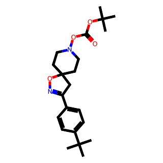 CC(C)(C)OC(=O)ON1CCC2(CC1)CC(c1ccc(C(C)(C)C)cc1)=NO2